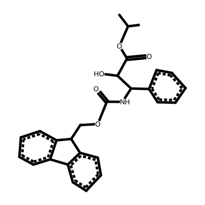 CC(C)OC(=O)C(O)C(NC(=O)OCC1c2ccccc2-c2ccccc21)c1ccccc1